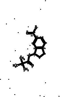 CC(C)(C)C(=O)ON1CCc2ccc([N+](=O)[O-])cc21